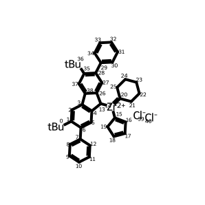 CC(C)(C)c1cc2c(cc1-c1ccccc1)[CH]([Zr+2]([C]1=CC=CC1)=[C]1CCCCC1)c1cc(-c3ccccc3)c(C(C)(C)C)cc1-2.[Cl-].[Cl-]